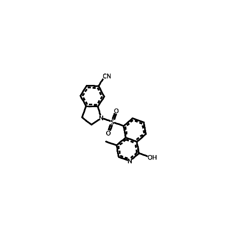 Cc1cnc(O)c2cccc(S(=O)(=O)N3CCc4ccc(C#N)cc43)c12